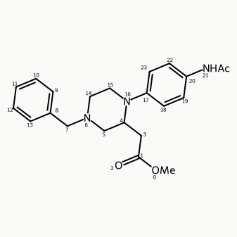 COC(=O)CC1CN(Cc2ccccc2)CCN1c1ccc(NC(C)=O)cc1